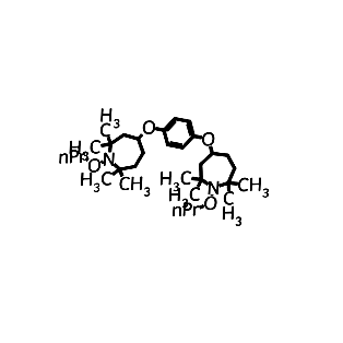 CCCON1C(C)(C)CCC(Oc2ccc(OC3CCC(C)(C)N(OCCC)C(C)(C)C3)cc2)CC1(C)C